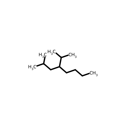 CCCCC(C[C](C)C)[C](C)C